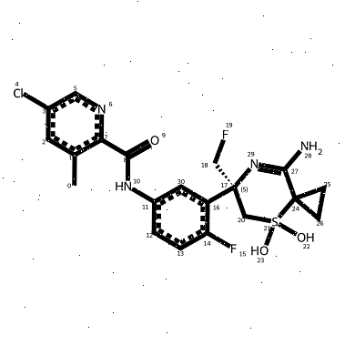 Cc1cc(Cl)cnc1C(=O)Nc1ccc(F)c([C@]2(CF)CS(O)(O)C3(CC3)C(N)=N2)c1